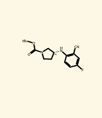 CC(C)(C)OC(=O)N1CC[C@@H](Nc2ccc(F)cc2C#N)C1